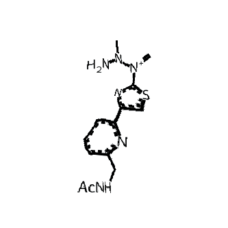 C=[N+](c1nc(-c2cccc(CNC(C)=O)n2)cs1)N(C)N